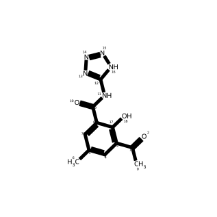 CC(=O)c1cc(C)cc(C(=O)Nc2nnn[nH]2)c1O